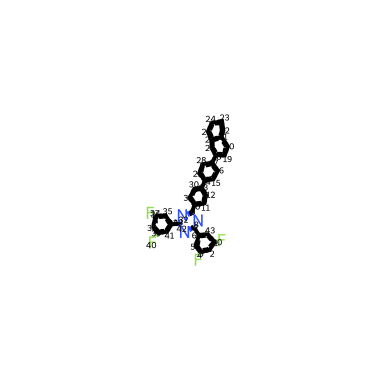 Fc1cc(F)cc(-c2nc(-c3ccc(-c4ccc(-c5ccc6ccccc6c5)cc4)cc3)nc(-c3cc(F)cc(F)c3)n2)c1